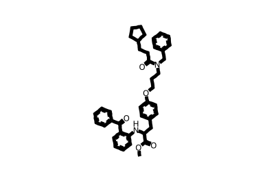 COC(=O)C(Cc1ccc(OCCCN(Cc2ccccc2)C(=O)CCC2CCCC2)cc1)Nc1ccccc1C(=O)c1ccccc1